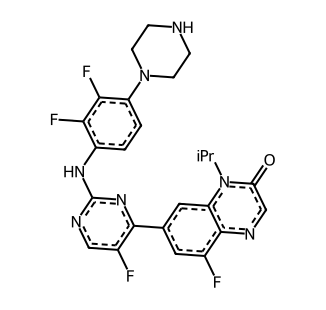 CC(C)n1c(=O)cnc2c(F)cc(-c3nc(Nc4ccc(N5CCNCC5)c(F)c4F)ncc3F)cc21